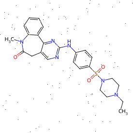 CCN1CCN(S(=O)(=O)c2ccc(Nc3ncc4c(n3)-c3ccccc3N(C)C(=O)C4)cc2)CC1